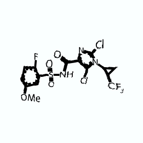 COc1ccc(F)c(S(=O)(=O)NC(=O)c2nc(Cl)n(C3CC3C(F)(F)F)c2Cl)c1